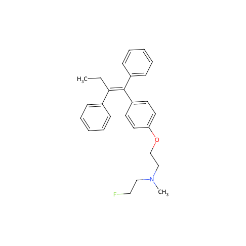 CC/C(=C(\c1ccccc1)c1ccc(OCCN(C)CCF)cc1)c1ccccc1